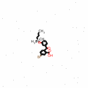 CCCC[Si](C)(C)Oc1cccc(C(=O)c2ccc(Br)cc2C(=O)O)c1